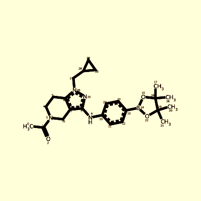 CC(=O)N1CCc2c(c(Nc3ccc(B4OC(C)(C)C(C)(C)O4)cc3)nn2CC2CC2)C1